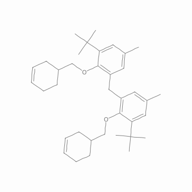 Cc1cc(Cc2cc(C)cc(C(C)(C)C)c2OCC2CC=CCC2)c(OCC2CC=CCC2)c(C(C)(C)C)c1